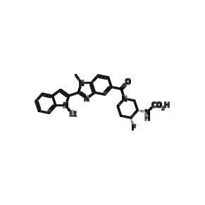 CCn1c(-c2nc3cc(C(=O)N4CC[C@@H](F)[C@@H](NC(=O)O)C4)ccc3n2C)cc2ccccc21